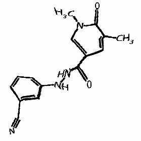 Cc1cc(C(=O)NNc2cccc(C#N)c2)cn(C)c1=O